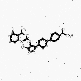 CCC(C(=O)O)c1ccc(-c2ccc(-c3noc(C)c3NC(=O)O[C@H](C)c3ccccc3Cl)cc2)cc1